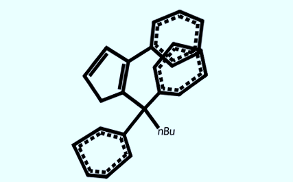 CCCCC(C1=C(c2ccccc2)C=CC1)(c1ccccc1)c1ccccc1